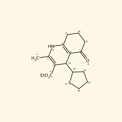 CCOC(=O)C1=C(C)NC2=C(C(=O)CCC2)C1C1CCCS1